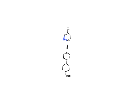 CCCCC1CCC(c2ccc(C#Cc3ccc(CC)cn3)cc2)CC1